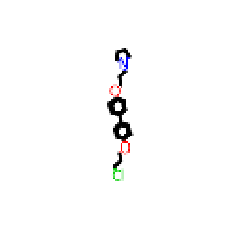 ClCCCOc1ccc(-c2ccc(OCCCN3CCCC3)cc2)cc1